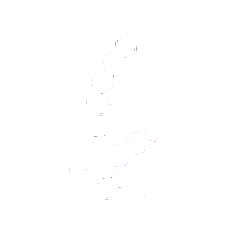 COc1cccc(OC)c1C(=O)Nc1nc(=O)[nH]cc1CC(NC(=O)NC1(C)CCN(Cc2ccccc2)CC1)C(=O)O